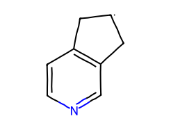 [CH]1Cc2ccncc2C1